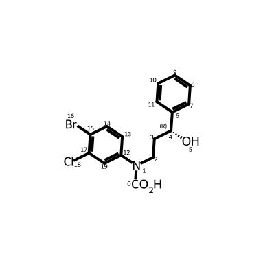 O=C(O)N(CC[C@@H](O)c1ccccc1)c1ccc(Br)c(Cl)c1